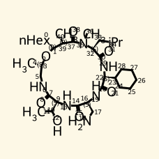 CCCCCC[C@H]1O[C@@H](C)CNC(=O)[C@H](C(C)O)NC(=O)[C@H](CN)NC(=O)[C@H](C2CCCCC2)NC(=O)[C@H](CC(C)C)N(C)C(=O)[C@@H]1C